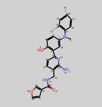 CN(c1ccc(O)c(-c2ccc(CNC(=O)c3ccoc3)c(N)n2)c1)c1ccc(F)cc1F